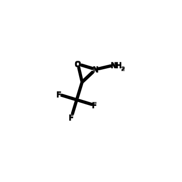 NN1OC1C(F)(F)F